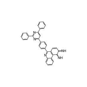 N=C1C=Cc2c(-c3ccc(-c4cc(-c5ccccc5)nc(-c5ccccc5)n4)cc3)nc3ccccc3c2C1=N